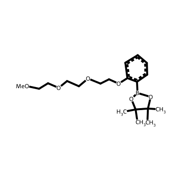 COCCOCCOCCOc1ccccc1B1OC(C)(C)C(C)(C)O1